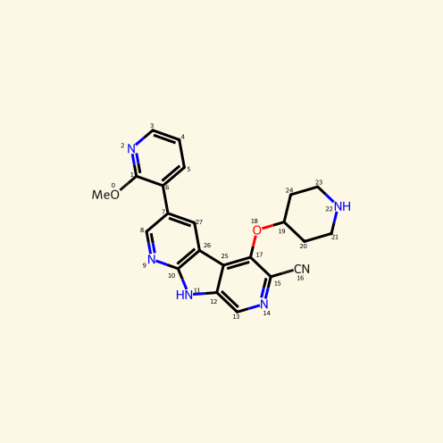 COc1ncccc1-c1cnc2[nH]c3cnc(C#N)c(OC4CCNCC4)c3c2c1